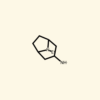 CCN1C2CCC1CC([NH])C2